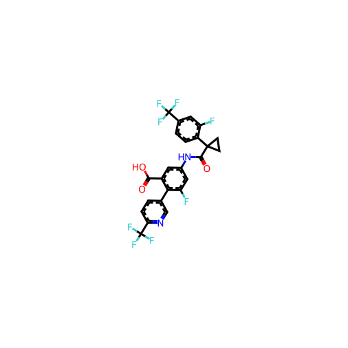 O=C(O)c1cc(NC(=O)C2(c3ccc(C(F)(F)F)cc3F)CC2)cc(F)c1-c1ccc(C(F)(F)F)nc1